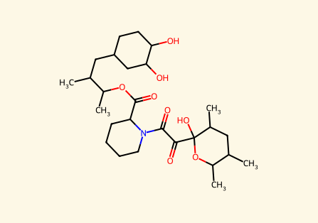 CC(CC1CCC(O)C(O)C1)C(C)OC(=O)C1CCCCN1C(=O)C(=O)C1(O)OC(C)C(C)CC1C